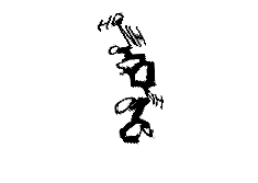 O=C(Nc1ccc2cc(C(=O)NO)sc2c1)c1cccnc1